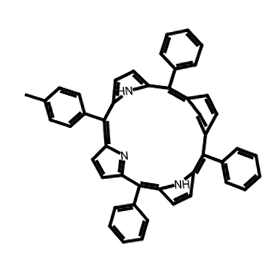 Cc1ccc(-c2c3nc(c(-c4ccccc4)c4ccc([nH]4)c(-c4ccccc4)c4cc(c(-c5ccccc5)c5ccc2[nH]5)C=C4)C=C3)cc1